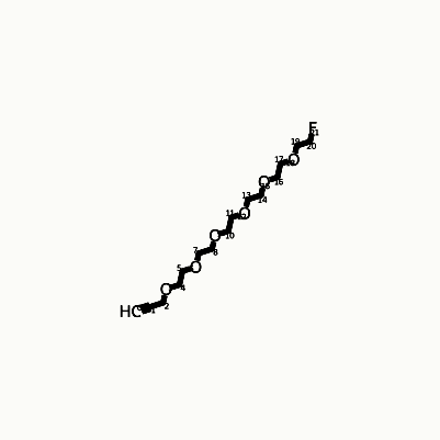 C#CCOCCOCCOCCOCCOCCOCCF